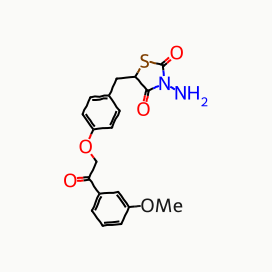 COc1cccc(C(=O)COc2ccc(CC3SC(=O)N(N)C3=O)cc2)c1